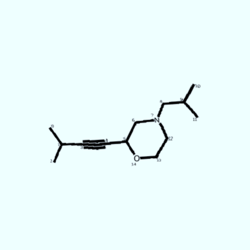 CC(C)C#CC1CN(CC(C)C)CCO1